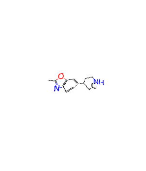 Cc1nc2ccc(C3CCNCC3)cc2o1